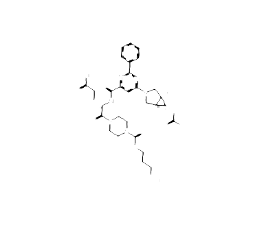 CCCCOC(=O)N1CCN(C(=O)[C@H](CCC(=O)O)NC(=O)c2cc(N3C[C@@H]4[C@H](C3)[C@H]4OC(=O)O)nc(-c3ccccc3)n2)CC1